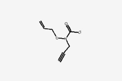 C#CCN(OCC=C)C(=O)Cl